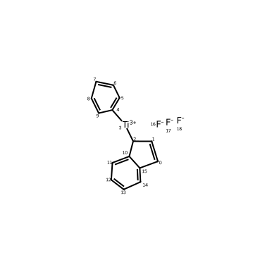 C1=C[CH]([Ti+3][c]2ccccc2)c2ccccc21.[F-].[F-].[F-]